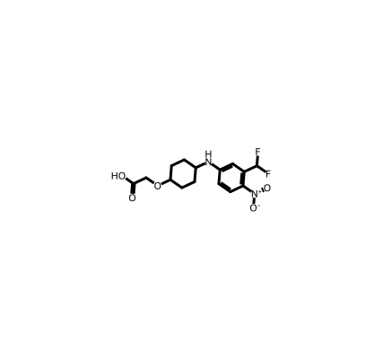 O=C(O)COC1CCC(Nc2ccc([N+](=O)[O-])c(C(F)F)c2)CC1